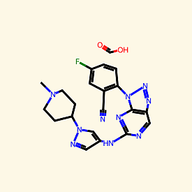 CN1CCC(n2cc(Nc3ncc4nnn(-c5ccc(F)cc5C#N)c4n3)cn2)CC1.O=CO